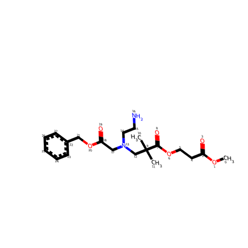 COC(=O)CCOC(=O)C(C)(C)CN(CCN)CC(=O)OCc1ccccc1